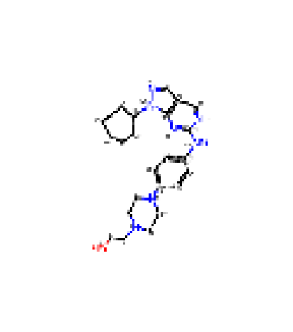 OCCN1CCN(c2ccc(Nc3ncc4cnn(C5CCCCC5)c4n3)cc2)CC1